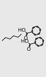 CCCCCC.O=C(O)c1ccccc1.O=C(O)c1ccccc1